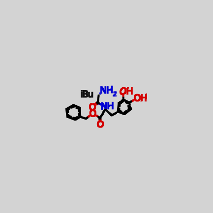 CC[C@H](C)[C@H](N)C(=O)N[C@@H](Cc1ccc(O)c(O)c1)C(=O)OCc1ccccc1